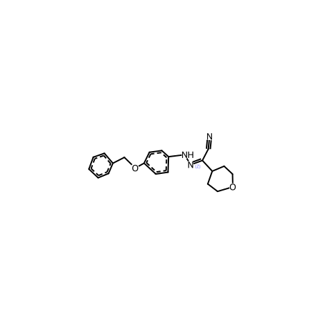 N#C/C(=N\Nc1ccc(OCc2ccccc2)cc1)C1CCOCC1